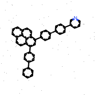 c1ccc(-c2ccc(-c3cc(-c4ccc(-c5ccc(-c6cccnc6)cc5)cc4)c4ccc5cccc6ccc3c4c65)cc2)cc1